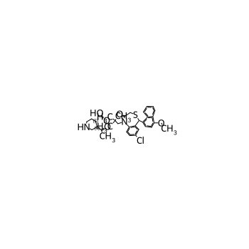 CC(=O)[C@H]1CNCC[C@@H]1C(=O)O.COc1ccc(C2SCC(=O)N(CC(C)(C)C)c3ccc(Cl)cc32)c2ccccc12